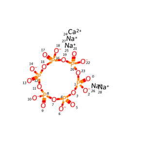 O=P1([O-])OP(=O)([O-])OP(=O)([O-])OP(=O)([O-])OP(=O)([O-])OP(=O)([O-])O1.[Ca+2].[Na+].[Na+].[Na+].[Na+]